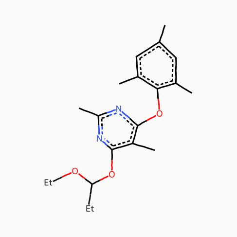 CCOC(CC)Oc1nc(C)nc(Oc2c(C)cc(C)cc2C)c1C